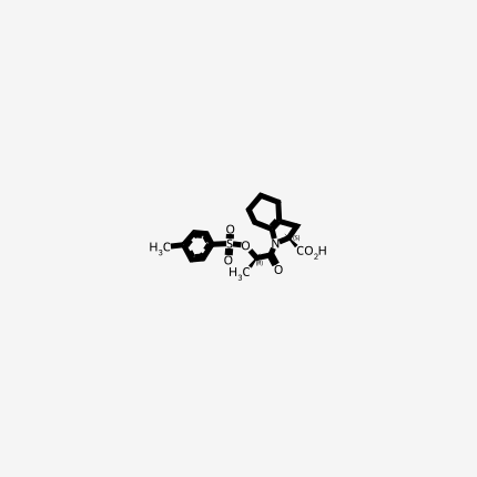 Cc1ccc(S(=O)(=O)O[C@H](C)C(=O)N2C3=C(CCCC3)C[C@H]2C(=O)O)cc1